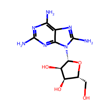 Nc1nc(N)c2nc(N)n([C@@H]3O[C@H](CO)[C@@H](O)[C@H]3O)c2n1